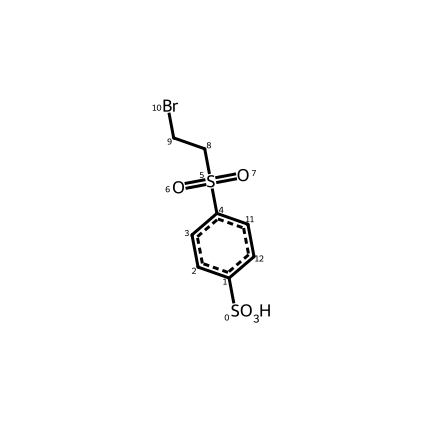 O=S(=O)(O)c1ccc(S(=O)(=O)CCBr)cc1